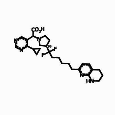 O=C(O)C(c1cncnc1C1CC1)N1CC[C@@H](C(F)(F)CCCCCc2ccc3c(n2)NCCC3)C1